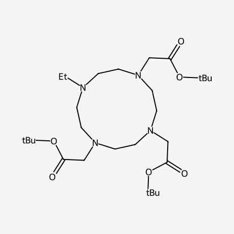 CCN1CCN(CC(=O)OC(C)(C)C)CCN(CC(=O)OC(C)(C)C)CCN(CC(=O)OC(C)(C)C)CC1